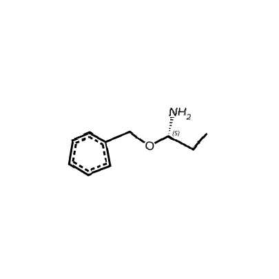 CC[C@@H](N)OCc1ccccc1